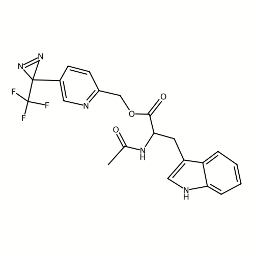 CC(=O)NC(Cc1c[nH]c2ccccc12)C(=O)OCc1ccc(C2(C(F)(F)F)N=N2)cn1